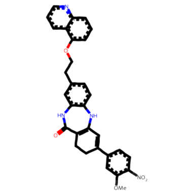 COc1cc(C2=CC3=C(CC2)C(=O)Nc2cc(CCOc4cccc5ncccc45)ccc2N3)ccc1[N+](=O)[O-]